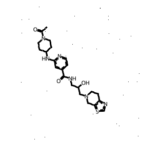 CC(=O)N1CCC(Nc2cc(C(=O)NCC(O)CN3CCc4ncsc4C3)ccn2)CC1